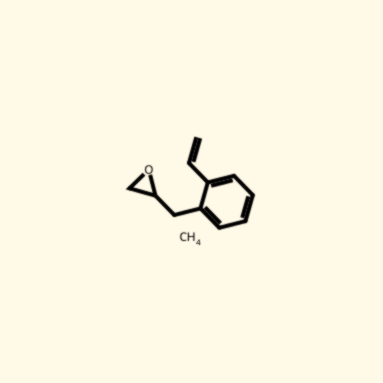 C.C=Cc1ccccc1CC1CO1